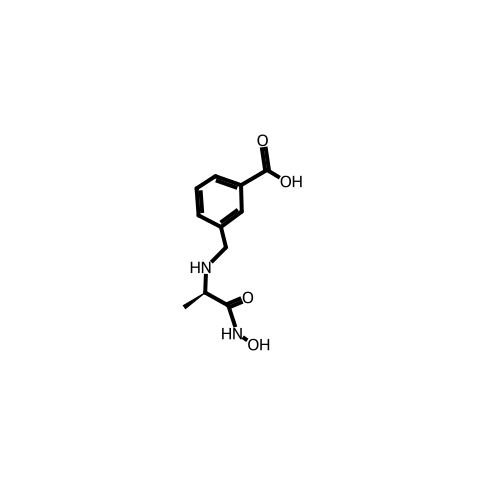 C[C@@H](NCc1cccc(C(=O)O)c1)C(=O)NO